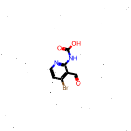 O=Cc1c(Br)ccnc1NC(=O)O